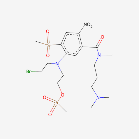 CN(C)CCCN(C)C(=O)c1cc(N(CCBr)CCOS(C)(=O)=O)c(S(C)(=O)=O)cc1[N+](=O)[O-]